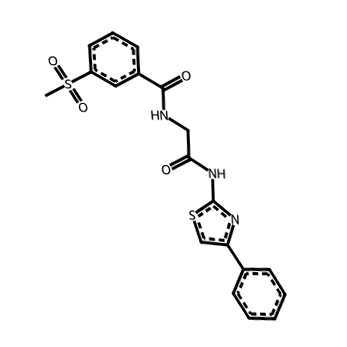 CS(=O)(=O)c1cccc(C(=O)NCC(=O)Nc2nc(-c3ccccc3)cs2)c1